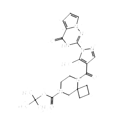 Cc1c(C(=O)N2CCN(C(=O)OC(C)(C)C)CC23CCC3)cnn1-c1nn2cccc2c(=O)[nH]1